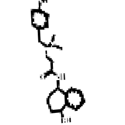 CN(C)[C@H](CCC(=O)NC1CCCC(O)c2ccccc21)Cc1ccc(O)cc1